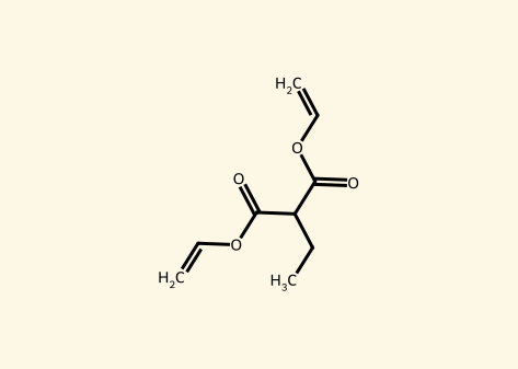 C=COC(=O)C(CC)C(=O)OC=C